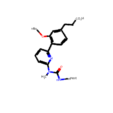 CCCCCNC(=O)N(C)c1cccc(-c2ccc(CCC(=O)O)cc2OCCCC)n1